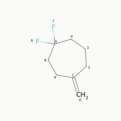 C=C1CCCC(F)(F)CC1